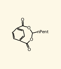 CCCCCC1OC(=O)c2ccc(cc2)C(=O)O1